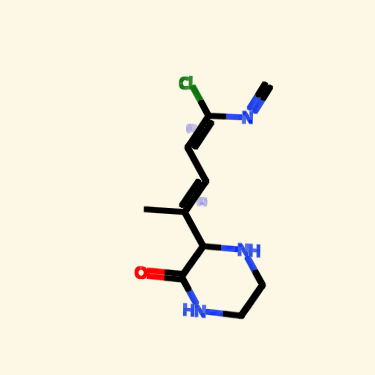 C=N/C(Cl)=C\C=C(/C)C1NCCNC1=O